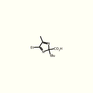 CCC1=NC(C(=O)O)(C(C)(C)C)N=C1C